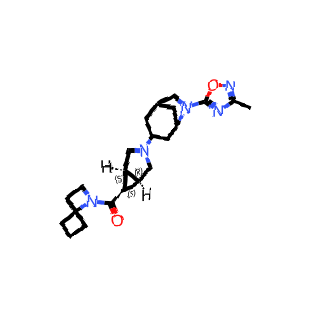 Cc1noc(N2CC3CC(N4C[C@@H]5[C@H](C4)[C@@H]5C(=O)N4CCC45CCC5)CC2C3)n1